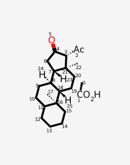 CC(=O)O.CC(=O)[C@H]1C(=O)C[C@H]2[C@@H]3CCC4CCCC[C@]4(C)[C@H]3CC[C@]12C